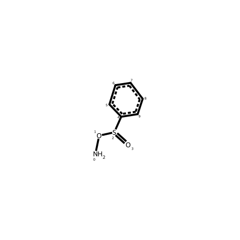 NOS(=O)c1ccccc1